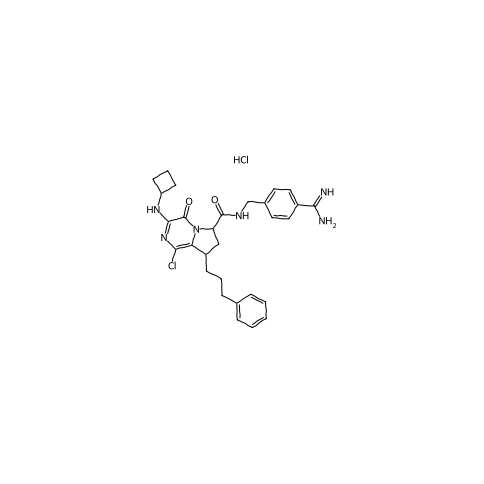 Cl.N=C(N)c1ccc(CNC(=O)C2CC(CCCc3ccccc3)c3c(Cl)nc(NC4CCC4)c(=O)n32)cc1